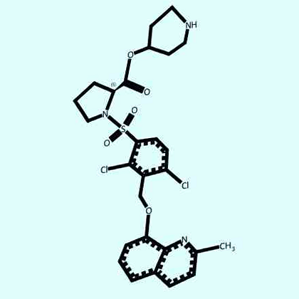 Cc1ccc2cccc(OCc3c(Cl)ccc(S(=O)(=O)N4CCC[C@H]4C(=O)OC4CCNCC4)c3Cl)c2n1